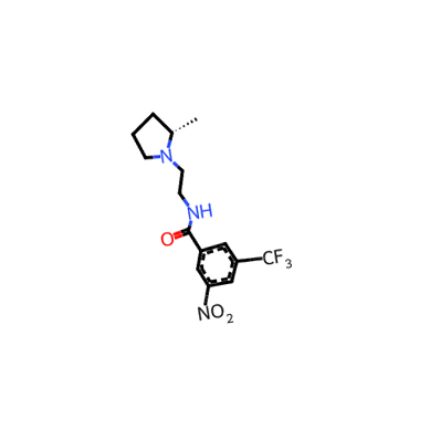 C[C@H]1CCCN1CCNC(=O)c1cc([N+](=O)[O-])cc(C(F)(F)F)c1